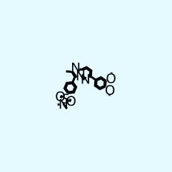 COc1ccc(-c2ccc3nc(C)c(-c4ccc(S(=O)(=O)N(C)C)cc4)n3n2)cc1OC